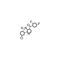 Nc1c(C(=O)c2ccc(F)cc2F)ccnc1-c1cccc(Cl)c1